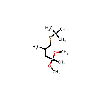 CO[Si](C)(CC(C)CS[Si](C)(C)C)OC